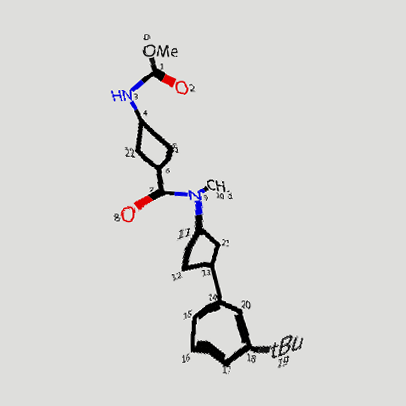 COC(=O)NC1CC(C(=O)N(C)C2CC(c3cccc(C(C)(C)C)c3)C2)C1